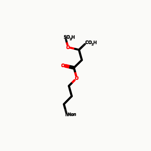 CCCCCCCCCCCCOC(=O)CC(OS(=O)(=O)O)C(=O)O